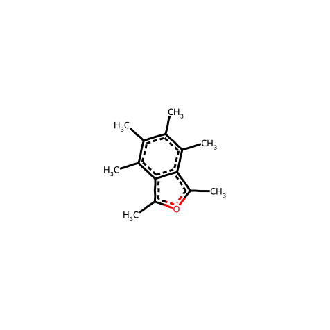 Cc1c(C)c(C)c2c(C)oc(C)c2c1C